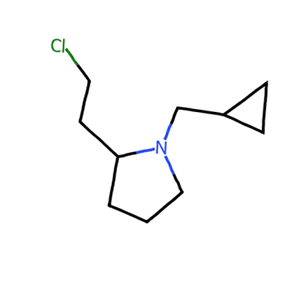 ClCCC1CCCN1CC1CC1